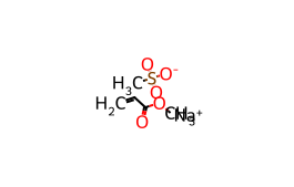 C=CC(=O)OC.CS(=O)(=O)[O-].[Na+]